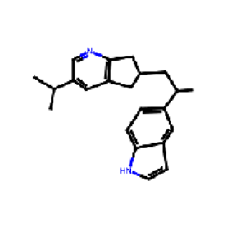 CC(C)c1cnc2c(c1)CC(CC(C)c1ccc3[nH]ccc3c1)C2